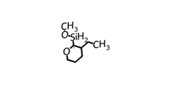 CCC1CCCO[C]1[SiH2]OC